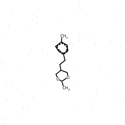 Cc1ccc(CCC2COC(C)OC2)cc1